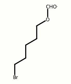 O=[C]OCCCCCBr